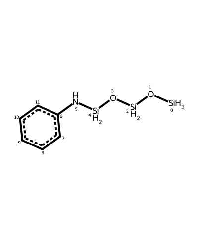 [SiH3]O[SiH2]O[SiH2]Nc1ccccc1